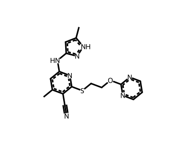 Cc1cc(Nc2cc(C)c(C#N)c(SCCOc3ncccn3)n2)n[nH]1